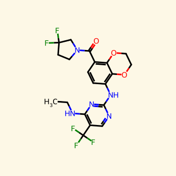 CCNc1nc(Nc2ccc(C(=O)N3CCC(F)(F)C3)c3c2OCCO3)ncc1C(F)(F)F